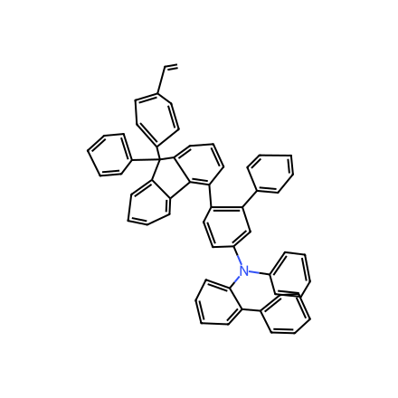 C=Cc1ccc(C2(c3ccccc3)c3ccccc3-c3c(-c4ccc(N(c5ccccc5)c5ccccc5-c5ccccc5)cc4-c4ccccc4)cccc32)cc1